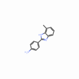 Cc1cccc2nc(-c3ccc(N)cc3)[nH]c12